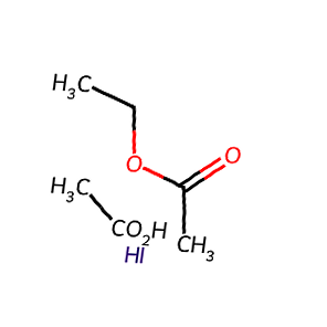 CC(=O)O.CCOC(C)=O.I